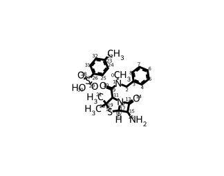 CN(Cc1ccccc1)C(=O)C1N2C(=O)C(N)[C@H]2SC1(C)C.Cc1ccc(S(=O)(=O)O)cc1